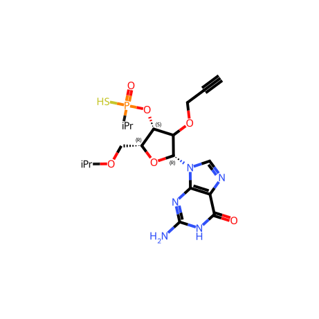 C#CCOC1[C@@H](OP(=O)(S)C(C)C)[C@@H](COC(C)C)O[C@H]1n1cnc2c(=O)[nH]c(N)nc21